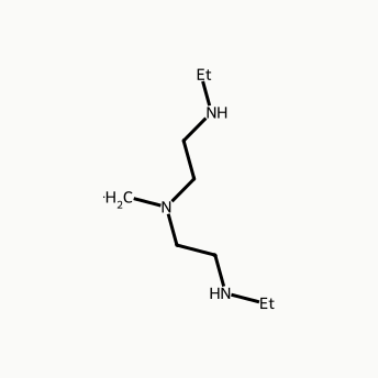 [CH2]N(CCNCC)CCNCC